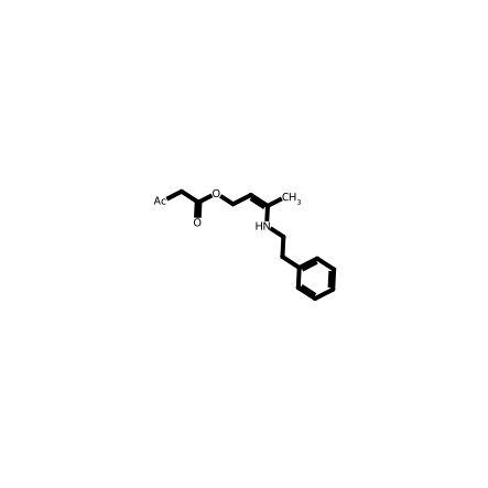 CC(=O)CC(=O)OC/C=C(/C)NCCc1ccccc1